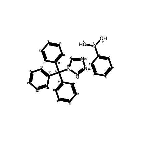 OB(O)c1ccccc1.c1ccc(C(c2ccccc2)(c2ccccc2)n2cnnn2)cc1